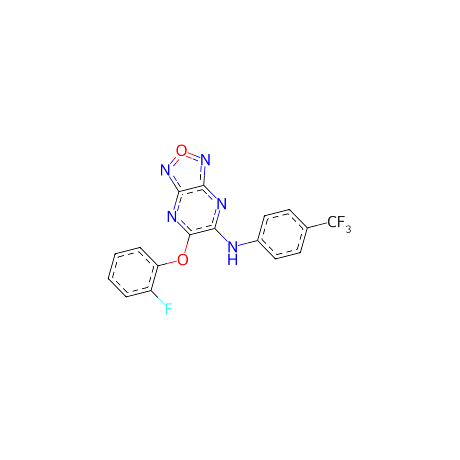 Fc1ccccc1Oc1nc2nonc2nc1Nc1ccc(C(F)(F)F)cc1